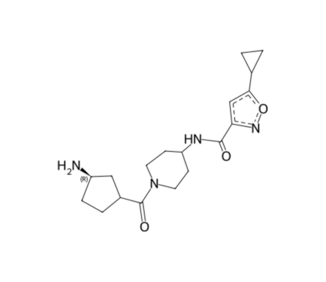 N[C@@H]1CCC(C(=O)N2CCC(NC(=O)c3cc(C4CC4)on3)CC2)C1